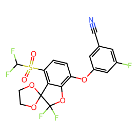 N#Cc1cc(F)cc(Oc2ccc(S(=O)(=O)C(F)F)c3c2OC(F)(F)C32OCCO2)c1